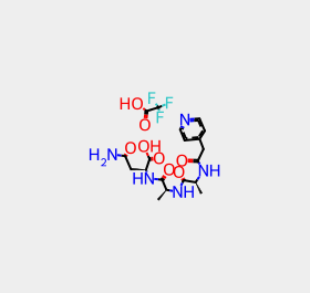 C[C@H](NC(=O)Cc1ccncc1)C(=O)N[C@@H](C)C(=O)N[C@@H](CC(N)=O)C(=O)O.O=C(O)C(F)(F)F